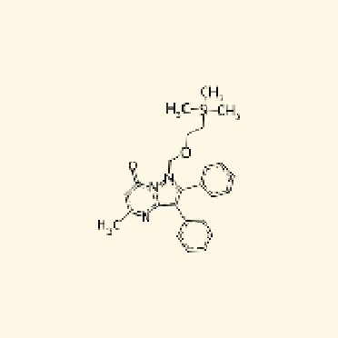 Cc1cc(=O)n2c(n1)c(-c1ccccc1)c(-c1ccccc1)n2COCC[Si](C)(C)C